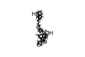 Cc1cc([C@H](C(=O)O)N(C)[C@H]2CC[C@H](OCCCCc3ccc4c(n3)NCCC4)C2)c2c(c1)N(C1CCOCC1)C(=O)C21CC1